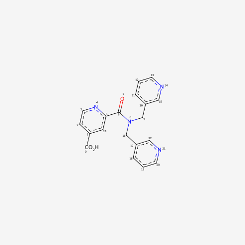 O=C(O)c1ccnc(C(=O)N(Cc2cccnc2)Cc2cccnc2)c1